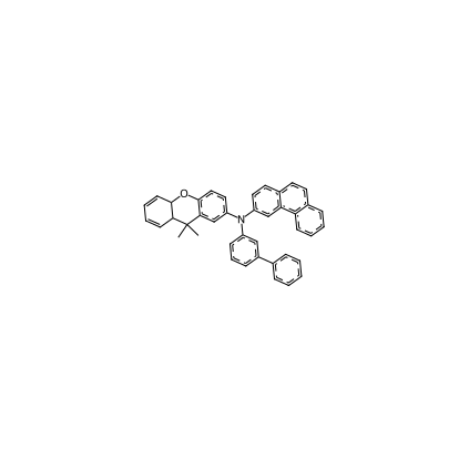 CC1(C)c2cc(N(c3cccc(-c4ccccc4)c3)c3ccc4ccc5ccccc5c4c3)ccc2OC2C=CC=CC21